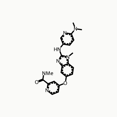 CNC(=O)c1cc(Oc2ccc3c(c2)nc(Nc2ccc(N(C)C)nc2)n3C)ccn1